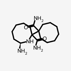 NC(=O)C1(C2(C(N)=O)CCCCC[C@H](N)N2)CCCCCCC1